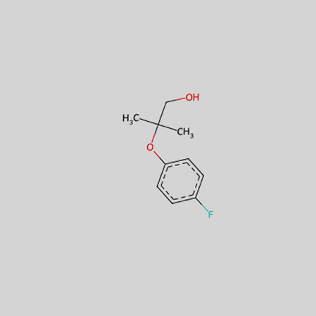 CC(C)(CO)Oc1ccc(F)cc1